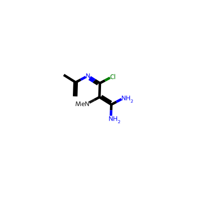 C=C(C)/N=C(/Cl)C(NC)=C(N)N